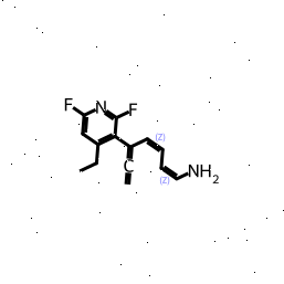 C=C=C(/C=C\C=C/N)c1c(CC)cc(F)nc1F